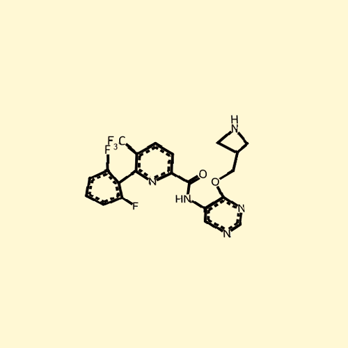 O=C(Nc1cncnc1OCC1CNC1)c1ccc(C(F)(F)F)c(-c2c(F)cccc2F)n1